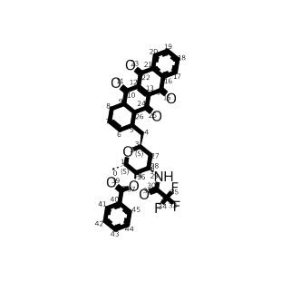 C[C@@H]1O[C@@H](CC2C=CCC3C(=O)C4=C(C(=O)c5ccccc5C4=O)C(=O)C23)C[C@H](NC(=O)C(F)(F)F)[C@@H]1OC(=O)c1ccccc1